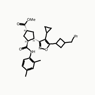 COC(=O)[C@H]1C[C@H](C(=O)Nc2ccc(C)cc2C)[C@@H](c2noc(C3CC(CC(C)C)C3)c2C2CC2)C1